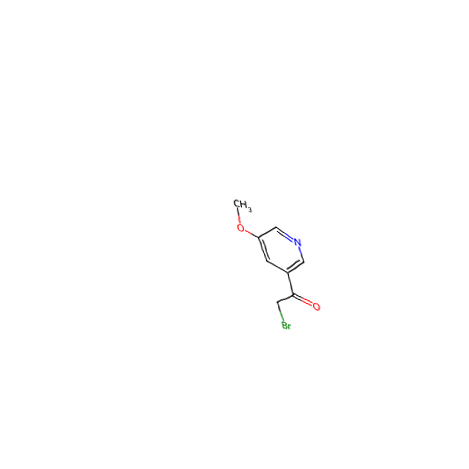 COc1cncc(C(=O)CBr)c1